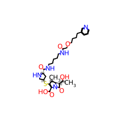 C[C@H]1C(S[C@@H]2CN[C@H](C(=O)NCCCCCNC(=O)COCCCCc3cccnc3)C2)=C(C(=O)O)N2C(=O)[C@H]([C@@H](C)O)C12